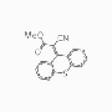 COC(=O)C(C#N)=C1c2ccccc2Sc2ccccc21